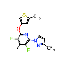 Cc1c(F)c(Oc2csc(C(F)(F)F)c2)nc(-n2ccc(C(F)(F)F)n2)c1F